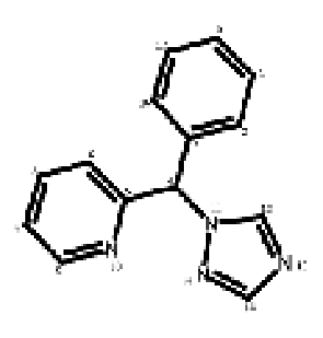 c1ccc(C(c2ccccn2)n2cncn2)cc1